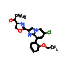 COC(=O)C1COC(c2cn3cc(Cl)cc(-c4ccccc4OCC(F)(F)F)c3n2)=N1